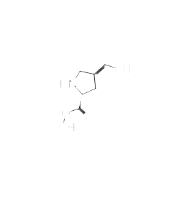 C/C=C1/CN[C@H](C(=O)OC)C1